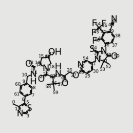 Cc1ncsc1-c1ccc(CNC(=O)[C@@H]2C[C@@H](O)CN2C(=O)[C@@H](NC(=O)COc2ccc(N3C(=S)N(c4ccc(C#N)c(C(F)(F)F)c4F)C(=O)C3(C)C)cn2)C(C)(C)C)cc1